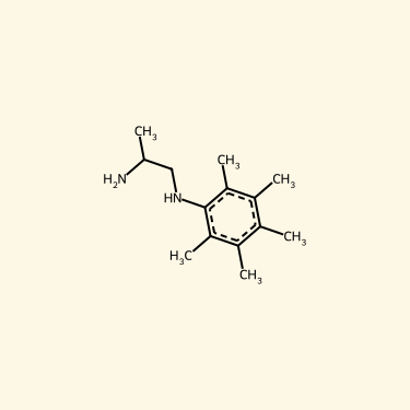 Cc1c(C)c(C)c(NCC(C)N)c(C)c1C